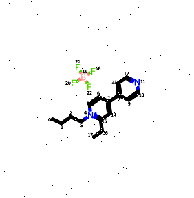 CCCC[n+]1ccc(-c2ccncc2)cc1CC.F[B-](F)(F)F